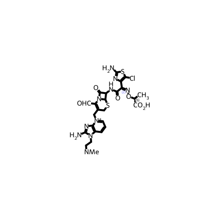 CNCCn1c(N)nc2c1ccc[n+]2CC1=C(C=O)N2C(=O)C(NC(=O)/C(=N\O[C@@H](C)C(=O)O)c3nc(N)sc3Cl)C2SC1